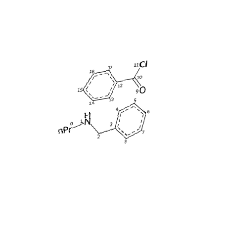 CCCNCc1ccccc1.O=C(Cl)c1ccccc1